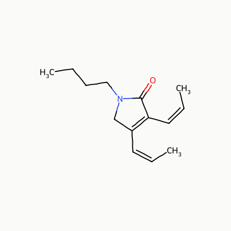 C/C=C\C1=C(/C=C\C)C(=O)N(CCCC)C1